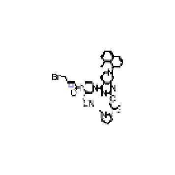 Cc1cccc2cccc(N3CCc4c(nc(OCC(=S)[C@@H]5CCCN5C)nc4N4CCN(C(=O)/C=C/CBr)[C@@H](CC#N)C4)C3)c12